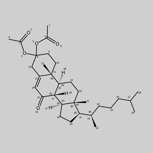 CC(=O)OC1(OC(C)=O)CC[C@@]2(C)C(=CC(=O)[C@H]3[C@@H]4CC[C@H]([C@H](C)CCCC(C)C)[C@@]4(C)CC[C@@H]32)C1